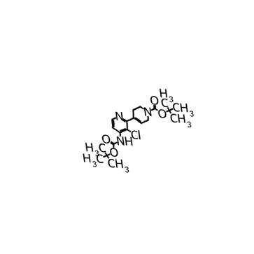 CC(C)(C)OC(=O)Nc1ccnc(C2=CCN(C(=O)OC(C)(C)C)CC2)c1Cl